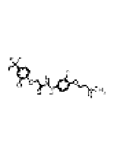 CNCCOc1ccc(NNC(=O)COc2ccc(C(F)(F)F)cc2Cl)cc1Cl